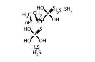 CCCC.CCCC.OP(O)(O)=S.OP(O)(O)=S.S.S.S.S